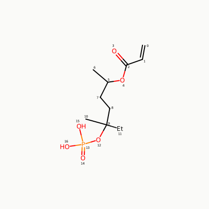 C=CC(=O)OC(C)CCC(C)(CC)OP(=O)(O)O